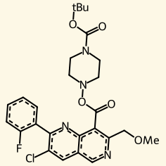 COCc1ncc2cc(Cl)c(-c3ccccc3F)nc2c1C(=O)ON1CCN(C(=O)OC(C)(C)C)CC1